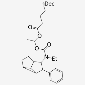 CCCCCCCCCCCCCC(=O)OC(C)OC(=O)N(CC)C1C2CCC3C2C3C1c1ccccc1